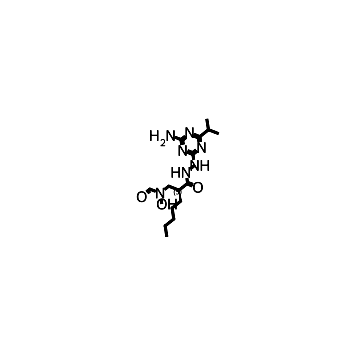 CCCCC[C@@H](CN(O)C=O)C(=O)NNc1nc(N)nc(C(C)C)n1